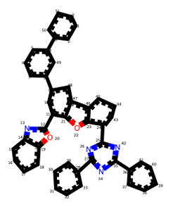 c1ccc(-c2cccc(-c3cc(-c4nc5ccccc5o4)c4oc5c(-c6nc(-c7ccccc7)nc(-c7ccccc7)n6)cccc5c4c3)c2)cc1